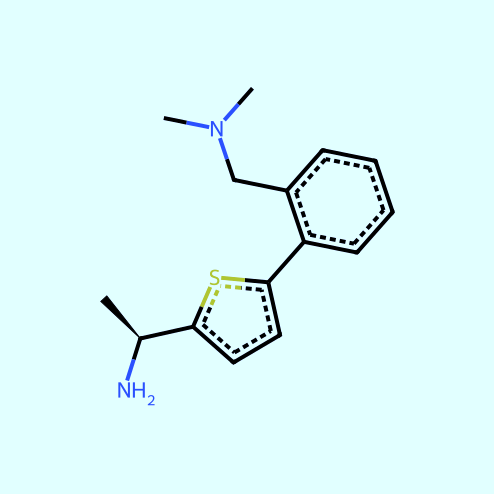 C[C@H](N)c1ccc(-c2ccccc2CN(C)C)s1